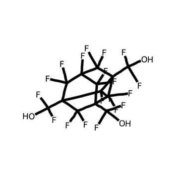 OC(F)(F)C12C(F)(F)C3(F)C(F)(F)C(C(O)(F)F)(C1(F)F)C(F)(F)C(C(O)(F)F)(C3(F)F)C2(F)F